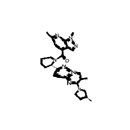 Cc1cc(C(=O)N2CCCC[C@H]2c2cc3nc(N4CC[C@H](C)C4)c(C)cn3n2)c2cnn(C)c2n1